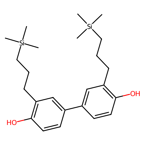 C[Si](C)(C)CCCc1cc(-c2ccc(O)c(CCC[Si](C)(C)C)c2)ccc1O